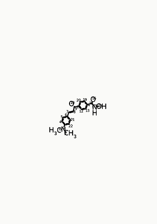 CN(C)c1ccc(C=CC(=O)c2ccc(C(=O)NO)cc2)cc1